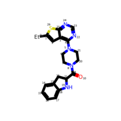 CCc1cc2c(N3CCN(C(=O)C4Cc5ccccc5N4)CC3)ncnc2s1